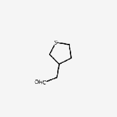 O=CCC1CCSC1